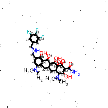 CN(C)c1cc(CNCc2cc(F)c(F)c(F)c2)c(O)c2c1CC1CC3C(N(C)C)C(O)=C(C(N)=O)C(=O)C3(O)C(O)=C1C2=O